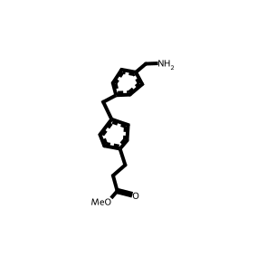 COC(=O)CCc1ccc(Cc2ccc(CN)cc2)cc1